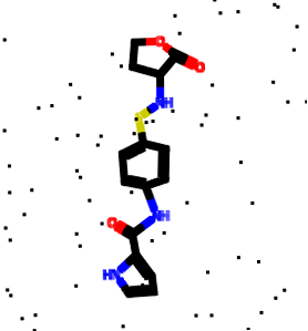 O=C(Nc1ccc(SNC2CCOC2=O)cc1)c1ccc[nH]1